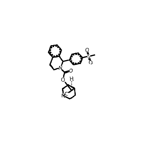 CS(=O)(=O)c1ccc(C2c3ccccc3CCN2C(=O)O[C@@H]2CN3CCC2CC3)cc1